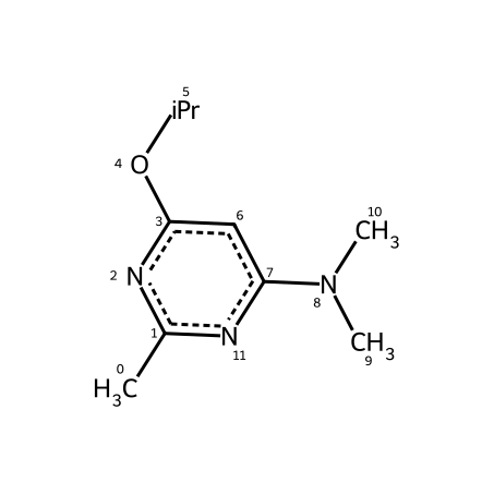 Cc1nc(OC(C)C)cc(N(C)C)n1